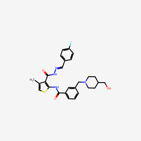 Cc1csc(NC(=O)c2cccc(CN3CCC(CO)CC3)c2)c1C(=O)NN=Cc1ccc(F)cc1